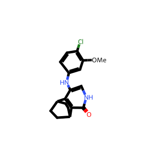 COc1cc(Nc2c[nH]c(=O)c3c2C2CCC3CC2)ccc1Cl